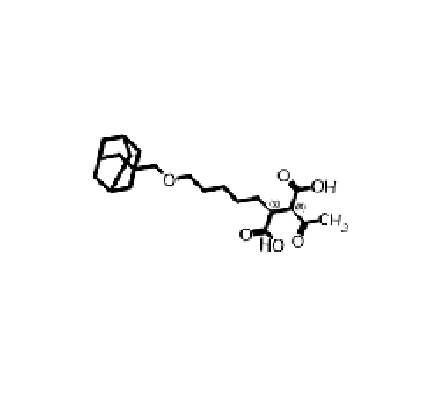 CC(=O)[C@H](C(=O)O)[C@H](CCCCCOCC12CC3CC(CC(C3)C1)C2)C(=O)O